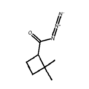 CC1(C)CCC1C(=O)N=[N+]=[N-]